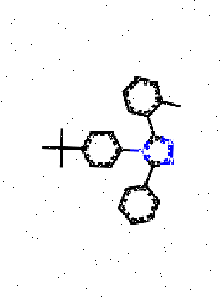 Cc1ccccc1-c1nnc(-c2ccccc2)n1-c1ccc(C(C)(C)C)cc1